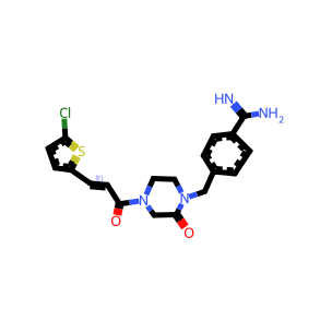 N=C(N)c1ccc(CN2CCN(C(=O)/C=C/c3ccc(Cl)s3)CC2=O)cc1